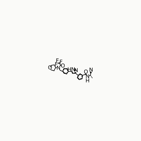 C[C@H](C#N)NC(=O)c1cccc(-c2cc(-c3ccc(CN(C(=O)C(F)(F)F)C4CCOCC4)cc3)[nH]n2)c1